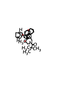 Cc1nc2ccccc2n1C1C[C@H]2CC[C@@H](C1)N2CCC1(c2ccccc2)CCN(C(=O)C(C)(C)C)CC1